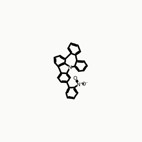 O=[N+]([O-])c1ccccc1-c1ccc2c3cccc4c3n(c2c1)-c1ccccc1-c1ccccc1-4